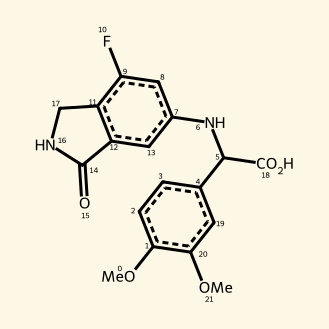 COc1ccc(C(Nc2cc(F)c3c(c2)C(=O)NC3)C(=O)O)cc1OC